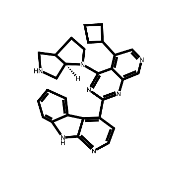 c1ccc2c(c1)[nH]c1nccc(-c3nc(N4CCC5CNC[C@@H]54)c4c(C5CCC5)cncc4n3)c12